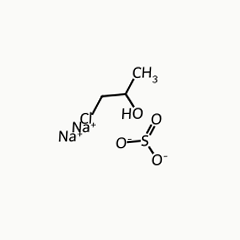 CC(O)CCl.O=S([O-])[O-].[Na+].[Na+]